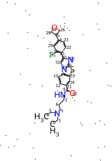 CCN(CC)CCCNC(=O)c1ccc2c(c1)sc1nc(-c3ccc(C4COC4)cc3F)cn12